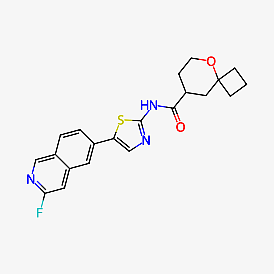 O=C(Nc1ncc(-c2ccc3cnc(F)cc3c2)s1)C1CCOC2(CCC2)C1